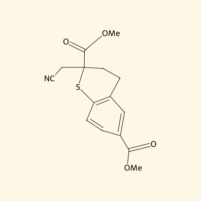 COC(=O)c1ccc2c(c1)CCC(CC#N)(C(=O)OC)S2